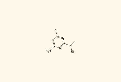 CCN(C)c1nc(N)nc(Cl)n1